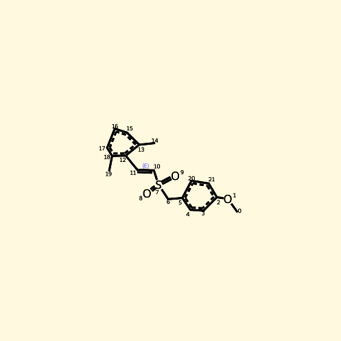 COc1ccc(CS(=O)(=O)/C=C/c2c(C)cccc2C)cc1